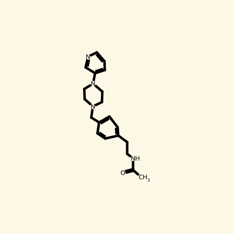 CC(=O)NCCc1ccc(CN2CCN(c3cccnc3)CC2)cc1